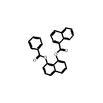 O=C(Oc1cccc2cccc(OC(=O)c3cccc4ccccc34)c12)c1ccccc1